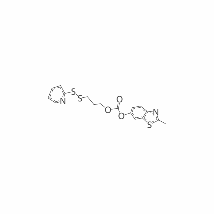 Cc1nc2ccc(OC(=O)OCCCSSc3ccccn3)cc2s1